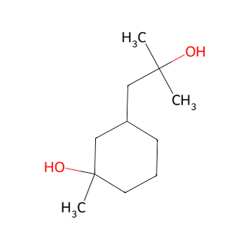 CC(C)(O)CC1CCCC(C)(O)C1